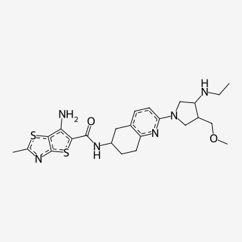 CCNC1CN(c2ccc3c(n2)CCC(NC(=O)c2sc4nc(C)sc4c2N)C3)CC1COC